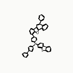 c1ccc(-c2ccc(N(c3ccc(-c4cccc5c4oc4c6ccccc6c(-c6ccccc6)cc54)cc3)c3ccc4c(c3)sc3ccccc34)cc2)cc1